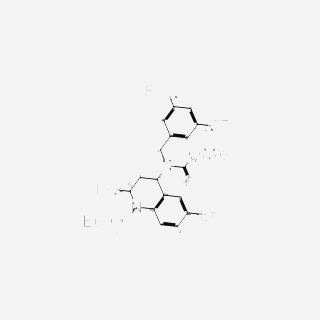 CCOC(=O)N1c2ccc(CC)cc2C(N(Cc2cc(C(F)(F)F)cc(C(F)(F)F)c2)C(=O)OC)CC1C